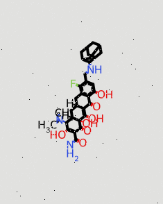 CN(C)[C@@H]1C(O)=C(C(N)=O)C(=O)[C@@]2(O)C(O)=C3C(=O)c4c(O)cc(CNC5C6CC7CC(C6)CC5C7)c(F)c4C[C@H]3C[C@@H]12